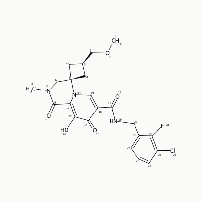 COC[C@H]1C[C@@]2(CN(C)C(=O)c3c(O)c(=O)c(C(=O)NCc4cccc(Cl)c4F)cn32)C1